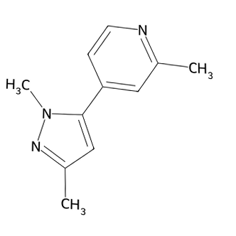 Cc1cc(-c2cc(C)nn2C)ccn1